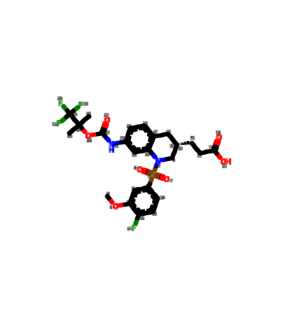 COc1cc(S(=O)(=O)N2C[C@@H](CCC(=O)O)Cc3ccc(NC(=O)OC(C)(C)C(F)(F)F)cc32)ccc1F